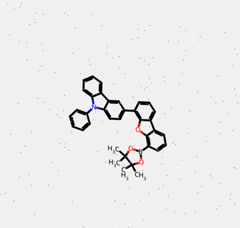 CC1(C)OB(c2cccc3c2oc2c(-c4ccc5c(c4)c4ccccc4n5-c4ccccc4)cccc23)OC1(C)C